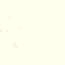 CCCCCCCCCC(C(=O)CC(C)CCO)C(=O)OC